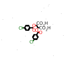 O=C(OC(C(=O)O)C(OC(=O)c1ccc(Cl)cc1)C(=O)O)c1ccc(Cl)cc1